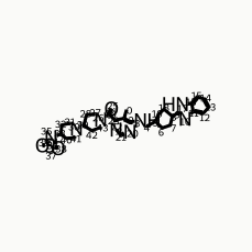 Cc1c(NCC2CCC(c3nc4ccccc4[nH]3)CC2)ncnc1C(=O)N1CCC(N2CCC(N(C)S(C)(=O)=O)CC2)CC1